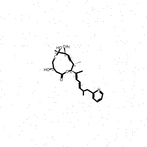 CC(=O)O[C@H]1/C=C/[C@H](C)[C@@H](/C(C)=C/C=C/C(C)Cc2ccccn2)OC(=O)C[C@@H](O)CC[C@]1(C)O